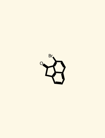 O=C1Cc2cccc3ccc(Br)c1c23